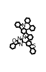 c1ccc2c(c1)-c1ccccc1-n1c3ccccc3c3cc4c(c-2c31)c1ccccc1n4-c1nc2oc3ccccc3c2nc1-c1ccc2sc3ccccc3c2c1